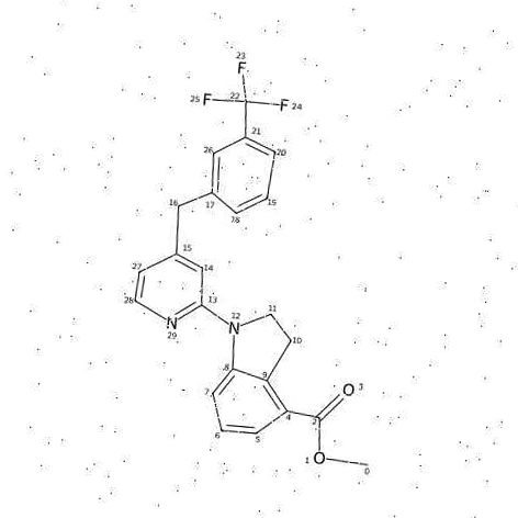 COC(=O)c1cccc2c1CCN2c1cc(Cc2cccc(C(F)(F)F)c2)ccn1